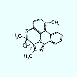 Cc1nc2c3ccccc3c3c(C)ccc4c3n2c1C(C)(C)S4